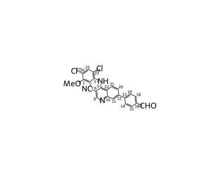 COc1cc(Nc2c(C#N)cnc3cc(-c4ccc(C=O)cc4)ccc23)c(Cl)cc1Cl